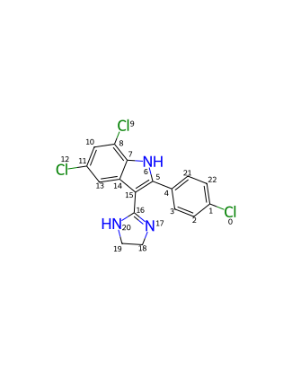 Clc1ccc(-c2[nH]c3c(Cl)cc(Cl)cc3c2C2=NCCN2)cc1